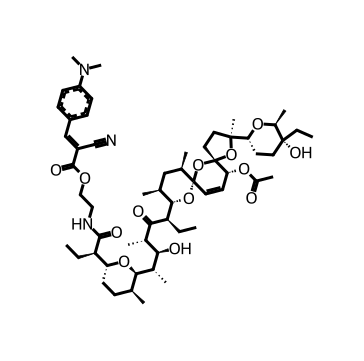 CC[C@@H](C(=O)[C@@H](C)[C@@H](O)[C@H](C)[C@@H]1O[C@@H]([C@@H](CC)C(=O)NCCOC(=O)/C(C#N)=C/c2ccc(N(C)C)cc2)CC[C@@H]1C)[C@H]1O[C@]2(C=C[C@@H](OC(C)=O)[C@]3(CC[C@@](C)([C@H]4CC[C@](O)(CC)[C@H](C)O4)O3)O2)[C@H](C)C[C@@H]1C